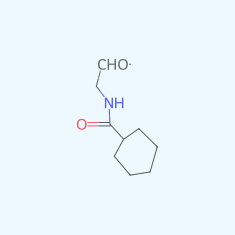 O=[C]CNC(=O)C1CCCCC1